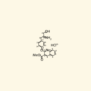 COC(=O)c1cc2ccccc2nc1Oc1ccc(C[C@H](N)CO)cc1.Cl